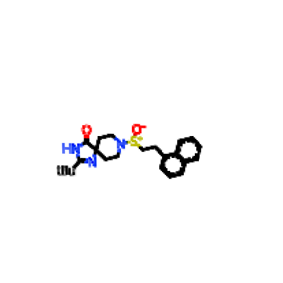 CC(C)(C)C1=NC2(CCN([S+]([O-])CCc3cccc4ccccc34)CC2)C(=O)N1